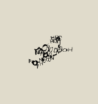 CC1=NO[C@@]2(CC[C@H](C)N3C[C@H]2n2cc(C(=O)NCc4ccc(F)cc4F)c(=O)c(OC(=O)N(C)CCN(CC(=O)O)C(=O)OCOP(=O)(O)O)c2C3=O)C1